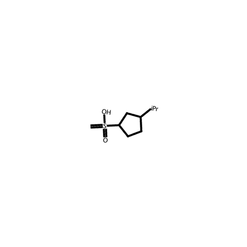 C=S(=O)(O)C1CCC(C(C)C)C1